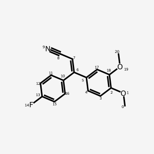 COc1ccc(C(=CC#N)c2ccc(F)cc2)cc1OC